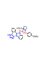 CCCCCCCC[C@@]1(C(=O)On2c(-c3ccccc3-c3nnn[nH]3)nc3ccccc32)CCCN1Oc1ccc(OC)cc1